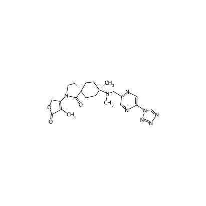 CC1=C(N2CC[C@]3(CC[C@](C)(N(C)Cc4cnc(-n5cnnn5)cn4)CC3)C2=O)COC1=O